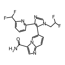 NC(=O)c1cnc2ccc(-c3c(-c4cccc(C(F)F)n4)ncn3CC(F)F)cn12